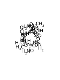 CC[C@H](C)[C@@H]1NC(=O)[C@H](Cc2ccc(O)cc2)NN[C@@H](CS)C(=O)SSC(N2CCC[C@H]2C(=O)N[C@@H](CC(C)C)C(=O)NCC(N)=O)C(=O)[C@H](CC(N)=O)NC(=O)[C@H](CCC(N)=O)NC1=O